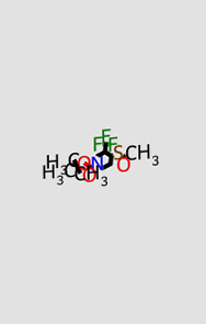 CC(=O)SC1CCN(C(=O)OC(C)(C)C)CC1C(F)(F)F